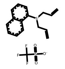 C=CC[S+](CC=C)c1cccc2ccccc12.O=S(=O)([O-])C(F)(F)F